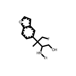 CCNC(CO)C(C)(CF)c1ccc2occc2c1